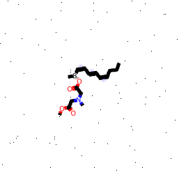 CCC\C=C/C=C/C=C\B(C)OC(=O)CN(C)CC(=O)OC